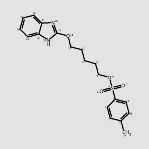 Cc1ccc(S(=O)(=O)OCCCCCOc2nc3ccccc3[nH]2)cc1